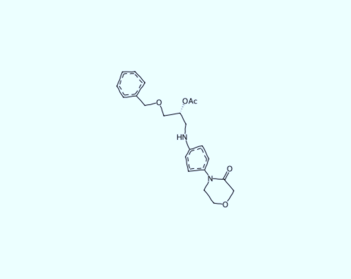 CC(=O)O[C@H](CNc1ccc(N2CCOCC2=O)cc1)COCc1ccccc1